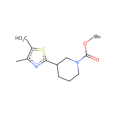 Cc1nc(C2CCCN(C(=O)OC(C)(C)C)C2)sc1C(=O)O